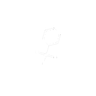 O=S(=O)(c1[c]cccc1)C(F)(F)F